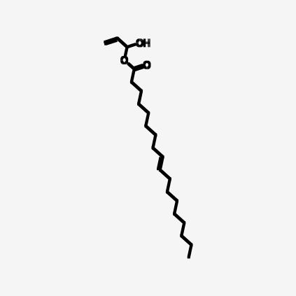 C=CC(O)OC(=O)CCCCCCCC=CCCCCCCCC